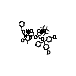 COc1ccc(C(OC[C@@](CO)(CO[Si](C(C)C)(C(C)C)C(C)C)O[C@H](CO)n2cc(C)c(=O)n(COCc3ccccc3)c2=O)(c2ccccc2)c2ccc(OC)cc2)cc1